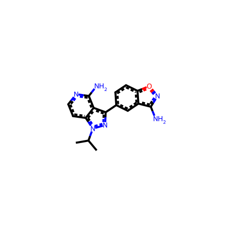 CC(C)n1nc(-c2ccc3onc(N)c3c2)c2c(N)nccc21